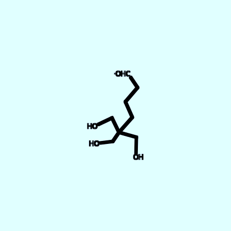 O=[C]CCCC(CO)(CO)CO